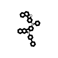 c1ccc(-c2ccc(-n3c4ccc(N(c5ccccc5)c5ccc6c(c5)oc5ccc7ccccc7c56)cc4c4cc5ccccc5cc43)cc2)cc1